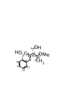 CO[C@@H](C)[C@@H](CO)N(Cc1ccccc1)C(=O)O